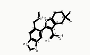 CNCc1cc2c(cc1-c1sc3c(c1C(=O)O)CC(C)(C)CC3)OCO2